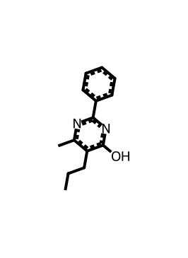 CCCc1c(C)nc(-c2ccccc2)nc1O